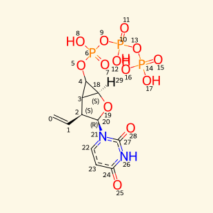 C=C[C@H]1C2C(OP(=O)(O)OP(=O)(O)OP(=O)(O)O)[C@H]2O[C@H]1n1ccc(=O)[nH]c1=O